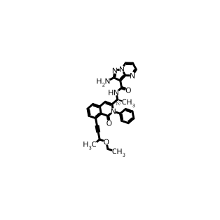 CCOC(C)C#Cc1cccc2cc([C@H](C)NC(=O)c3c(N)nn4cccnc34)n(-c3ccccc3)c(=O)c12